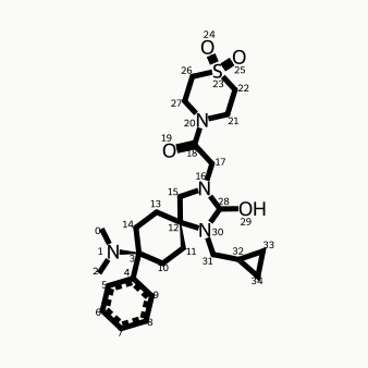 CN(C)[C@]1(c2ccccc2)CC[C@@]2(CC1)CN(CC(=O)N1CCS(=O)(=O)CC1)C(O)N2CC1CC1